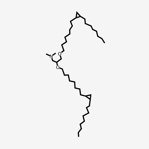 CCCCCCCCCC1CC1CCCCCCCCOC(COCCCCCCCCC1CC1CCCCCCCC)CN(C)C